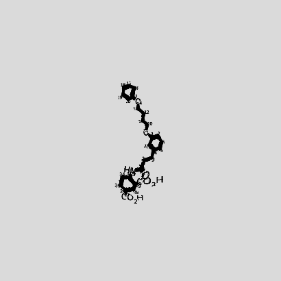 O=C(CCc1cccc(OCCCCOc2ccccc2)c1)Nc1ccc(C(=O)O)cc1C(=O)O